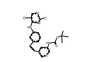 CC(C)(C)OC(=O)Nc1cncc(/C=C\c2cccc(Nc3nc(Cl)ncc3Cl)c2)c1